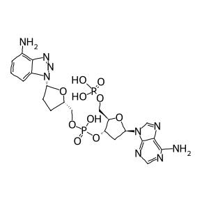 Nc1ncnc2c1ncn2[C@H]1C[C@H](OP(=O)(O)OC[C@@H]2CC[C@H](n3nnc4c(N)cccc43)O2)[C@@H](COP(=O)(O)O)O1